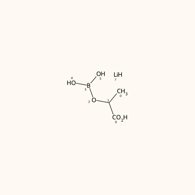 CC(OB(O)O)C(=O)O.[LiH]